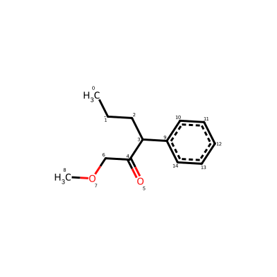 C[CH]CC(C(=O)COC)c1ccccc1